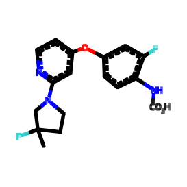 CC1(F)CCN(c2cc(Oc3ccc(NC(=O)O)c(F)c3)ccn2)C1